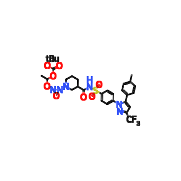 Cc1ccc(-c2cc(C(F)(F)F)nn2-c2ccc(S(=O)(=O)NC(=O)C3CCCN(n4on4OC(C)OC(=O)OC(C)(C)C)C3)cc2)cc1